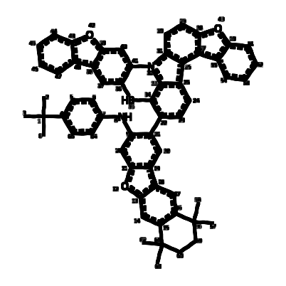 CC(C)(C)c1ccc(Nc2cc3oc4cc5c(cc4c3cc2-c2ccc3c4c6c(ccc4n4c3c2Bc2cc3c(cc2-4)oc2ccccc23)oc2ccccc26)C(C)(C)CCC5(C)C)cc1